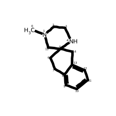 CN1CCNC2(CCc3ccccc3C2)C1